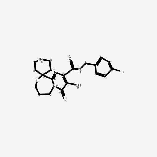 O=C(NCc1ccc(F)cc1)c1nc2n(c(=O)c1O)CCCOC21CCNCC1